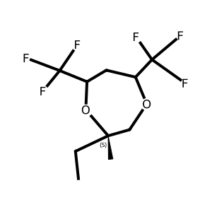 CC[C@@]1(C)COC(C(F)(F)F)CC(C(F)(F)F)O1